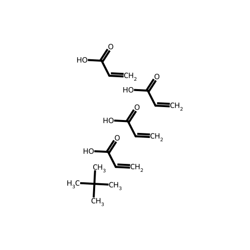 C=CC(=O)O.C=CC(=O)O.C=CC(=O)O.C=CC(=O)O.CC(C)(C)C